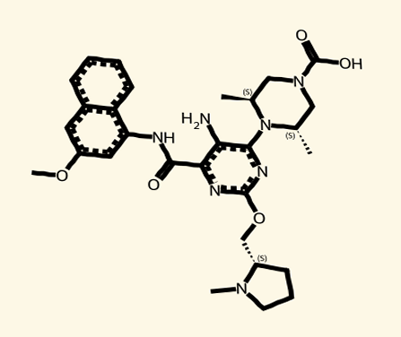 COc1cc(NC(=O)c2nc(OC[C@@H]3CCCN3C)nc(N3[C@@H](C)CN(C(=O)O)C[C@@H]3C)c2N)c2ccccc2c1